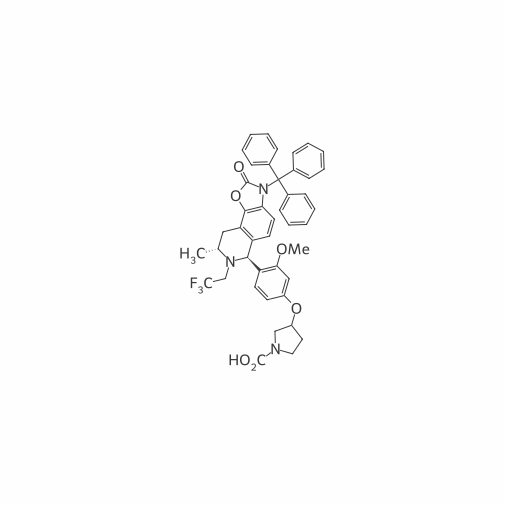 COc1cc(OC2CCN(C(=O)O)C2)ccc1[C@@H]1c2ccc3c(oc(=O)n3C(c3ccccc3)(c3ccccc3)c3ccccc3)c2C[C@@H](C)N1CC(F)(F)F